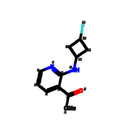 COC(=O)c1cccnc1NC1CC(F)C1